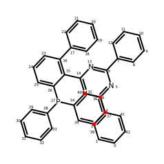 c1ccc(-c2nc(-c3ccccc3)nc(-c3c(-c4ccccc4)cccc3P(c3ccccc3)c3ccccc3)n2)cc1